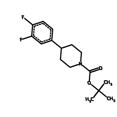 CC(C)(C)OC(=O)N1CCC(c2ccc(F)c(F)c2)CC1